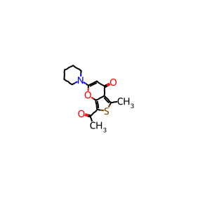 CC(=O)c1sc(C)c2c(=O)cc(N3CCCCC3)oc12